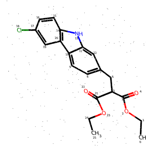 CCOC(=O)C(Cc1ccc2c(c1)[nH]c1ccc(Cl)cc12)C(=O)OCC